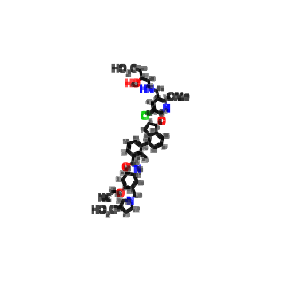 COc1nc(O[C@H]2CCc3c(-c4cccc(-c5nc6cc(CN7CCC(C(=O)O)C7)c(OCC#N)cc6o5)c4C)cccc32)c(Cl)cc1CNCC(O)CC(=O)O